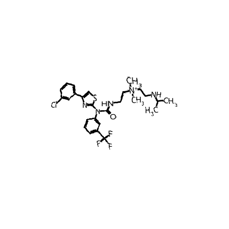 CC(C)NCC[N+](C)(C)CCNC(=O)N(c1cccc(C(F)(F)F)c1)c1nc(-c2cccc(Cl)c2)cs1